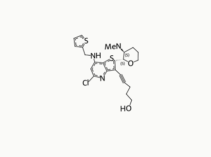 CN[C@H]1CCCO[C@@H]1c1sc2c(NCc3cccs3)cc(Cl)nc2c1C#CCCCO